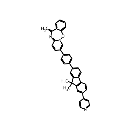 C=C1N=C2C=CC(c3ccc(-c4ccc5c(c4)C(C)(C)c4cc(-c6ccncc6)ccc4-5)cc3)=CN2Oc2ccccc21